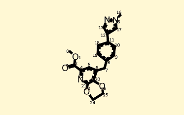 COC(=O)c1cc(Cc2ccc(-c3cnn(C)c3)cc2)c2c(n1)OCCO2